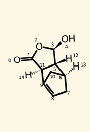 O=C1O[C@@H](O)[C@@H]2[C@H]3CC=C(C3)[C@@H]12